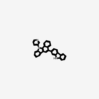 c1cncc(-n2c3ccccc3c3cc(-c4ccc5c(c4)[nH]c4ccccc45)c4ccccc4c32)c1